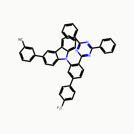 N#Cc1cccc(-c2ccc3c(c2)c2ccccc2n3-c2cc(-c3ccc(C(F)(F)F)cc3)ccc2-c2nc(-c3ccccc3)nc(-c3ccccc3)n2)c1